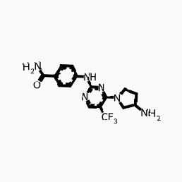 NC(=O)c1ccc(Nc2ncc(C(F)(F)F)c(N3CCC(N)C3)n2)cc1